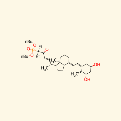 C=C1/C(=C\C=C2/CCC[C@@]3(C)C2CC[C@@H]3[C@H](C)/C=C/C(=O)C(CC)(CC)P(=O)(OCCCC)OCCCC)C[C@@H](O)C[C@@H]1O